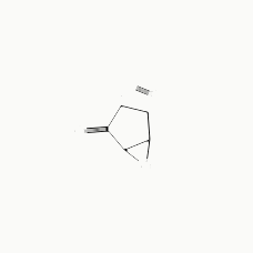 C=C.O=C1CCC2OC12